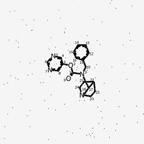 O=C(Oc1cncnc1)N(Cc1ccccc1)C1CN2CCC1CC2